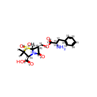 CC1(C)[C@H](C(=O)O)N2C(=O)[C@@H](COC(=O)[C@@H](N)Cc3ccccc3)[C@H]2S1(=O)=O